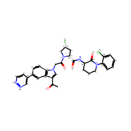 CC(=O)c1cn(CC(=O)N2C[C@H](F)C[C@@H]2C(=O)NC2CCCN(c3ccccc3Cl)C2=O)c2ccc(-c3ccnnc3)cc12